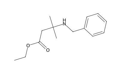 CCOC(=O)CC(C)(C)NCc1ccccc1